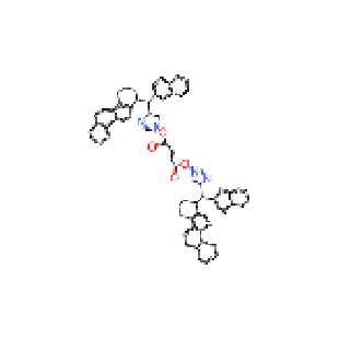 O=C(/C=C/C(=O)ON1C=NC(C(c2ccc3ccccc3c2)C2CCCc3c2ccc2c3ccc3ccccc32)C1)ON1C=NC(C(c2ccc3ccccc3c2)C2CCCc3c2ccc2c3ccc3ccccc32)C1